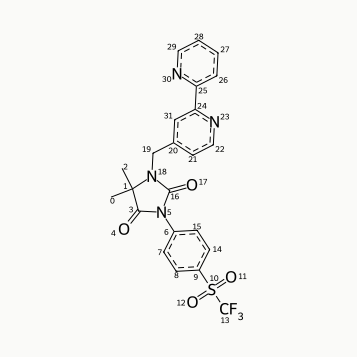 CC1(C)C(=O)N(c2ccc(S(=O)(=O)C(F)(F)F)cc2)C(=O)N1Cc1ccnc(-c2ccccn2)c1